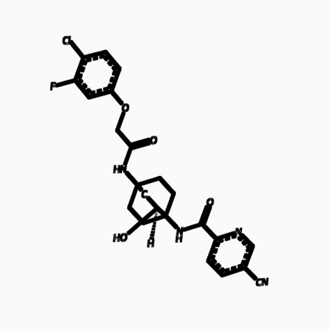 N#Cc1ccc(C(=O)NC23CCC(NC(=O)COc4ccc(Cl)c(F)c4)(CC2)C[C@@H]3O)nc1